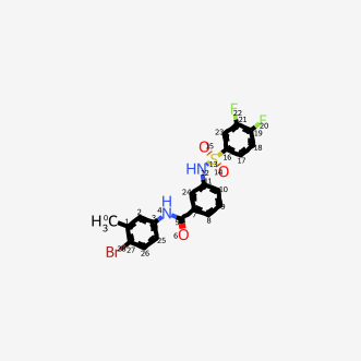 Cc1cc(NC(=O)c2cccc(NS(=O)(=O)c3ccc(F)c(F)c3)c2)ccc1Br